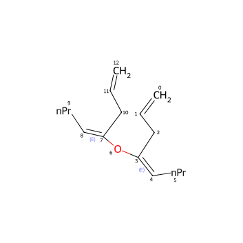 C=CC/C(=C\CCC)O/C(=C/CCC)CC=C